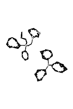 C=CC[Si](Cn1ccnc1)(c1ccccc1)c1ccccc1.c1ccc(B(c2ccccc2)c2ccccc2)cc1